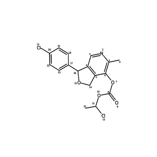 Cc1ncc2c(c1OC(=O)OC(C)Cl)COC2c1ccc(Cl)cc1